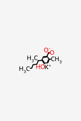 CCCCC(C)c1cc(C(=O)[O-])c(C)cc1O.[K+]